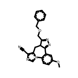 COc1ccc2c(c1)C1=NN=C(COCc3ccccc3)C1Cc1c(C#N)ncn1-2